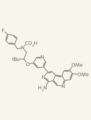 COc1cc2ncc3c(N)nc(-c4cncc(OC(CN(Cc5ccc(F)cc5)C(=O)O)C(C)(C)C)c4)cc3c2cc1OC